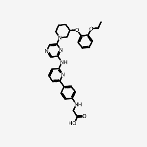 CCOc1ccccc1OC1CCCN(c2cncc(Nc3cccc(-c4ccc(NCC(=O)O)cc4)n3)n2)C1